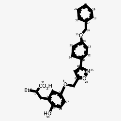 CCC(Cc1cc(OCc2cc(-c3ccc(OCc4ccccc4)cc3)no2)ccc1O)C(=O)O